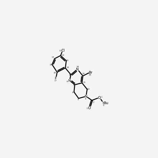 CC(C)(C)OC(=O)N1CCc2nc(-c3cc(Cl)ccc3F)nc(Br)c2C1